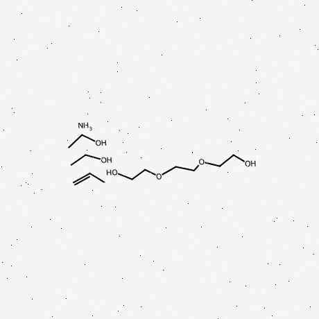 C=CC.CCO.CCO.N.OCCOCCOCCO